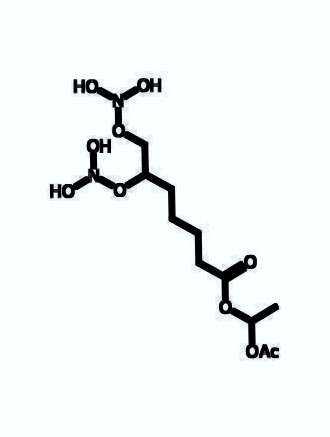 CC(=O)OC(C)OC(=O)CCCCC(CON(O)O)ON(O)O